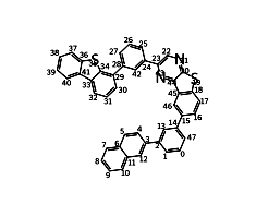 c1cc(-c2ccc3ccccc3c2)cc(-c2ccc3sc4ncc(-c5cccc(-c6cccc7c6sc6ccccc67)c5)nc4c3c2)c1